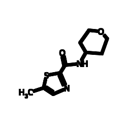 Cc1cnc(C(=O)NC2CCOCC2)s1